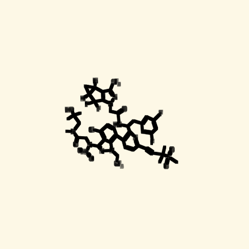 CN(CC(C)(C)O)C(=O)CN(c1nn(CC(F)(F)F)c2c(-c3ccc(C#CC(C)(C)S(C)(=O)=O)nc3C(Cc3cc(F)cc(F)c3)NC(=O)Cn3nc(C(F)(F)F)c4c3C(F)(F)[C@@H]3C[C@H]43)ccc(Cl)c12)[SH](=O)=O